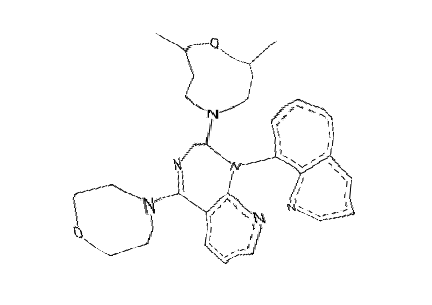 CC1CN(C2N=C(N3CCOCC3)c3cccnc3N2c2cccc3cccnc23)CC(C)O1